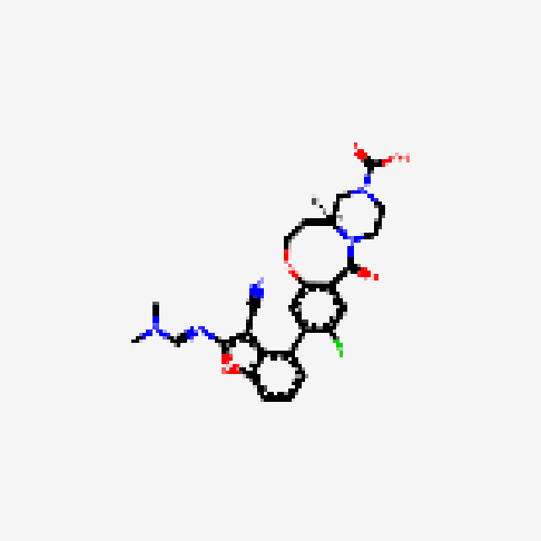 CN(C)/C=N/c1oc2cccc(-c3cc4c(cc3Cl)C(=O)N3CCN(C(=O)O)C[C@@H]3CCO4)c2c1C#N